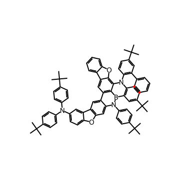 CC(C)(C)c1ccc(N2B3c4cc(C(C)(C)C)ccc4N(c4ccc(C(C)(C)C)cc4-c4ccccc4)c4c3c(cc3c4oc4ccccc43)-c3cc4c(cc32)oc2ccc(N(c3ccc(C(C)(C)C)cc3)c3ccc(C(C)(C)C)cc3)cc24)cc1